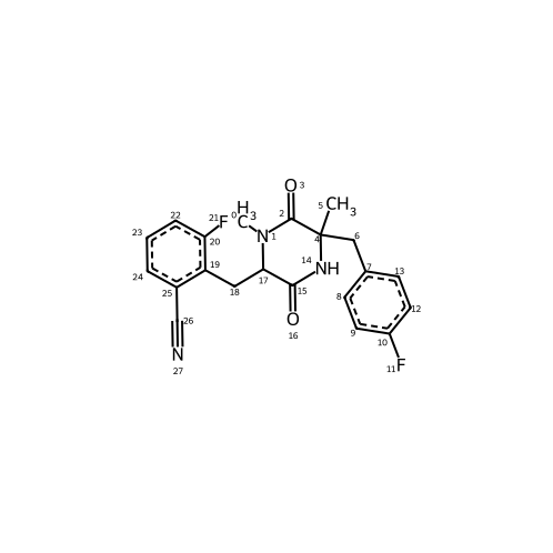 CN1C(=O)C(C)(Cc2ccc(F)cc2)NC(=O)C1Cc1c(F)cccc1C#N